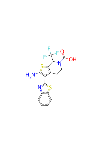 Nc1sc2c(c1-c1nc3ccccc3s1)CCN(C(=O)O)C2C(F)(F)F